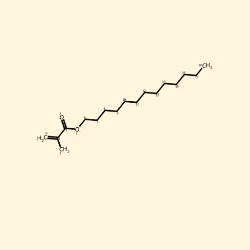 C=C(C)C(=O)OCCCCCCC[CH]CCCCC